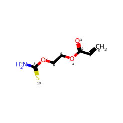 C=CC(=O)OCCOC(N)=S